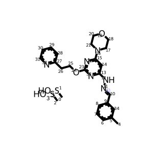 CS(=O)(=O)O.CS(=O)(=O)O.Cc1cccc(/C=N/Nc2cc(N3CCOCC3)nc(OCCc3ccccn3)n2)c1